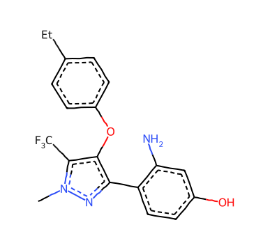 CCc1ccc(Oc2c(-c3ccc(O)cc3N)nn(C)c2C(F)(F)F)cc1